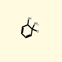 O=[N+]([O-])C1(Cl)C=CC=CC1O